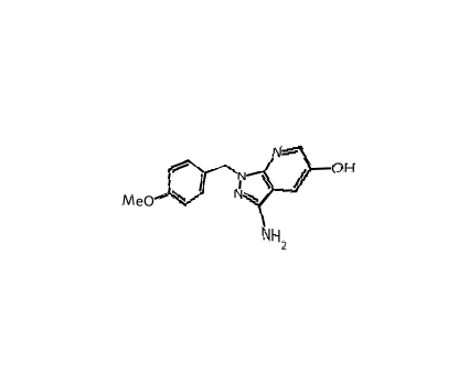 COc1ccc(Cn2nc(N)c3cc(O)cnc32)cc1